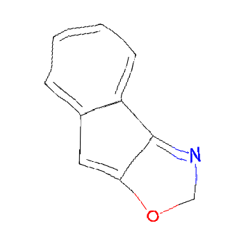 C1=C2OCN=C2c2ccccc21